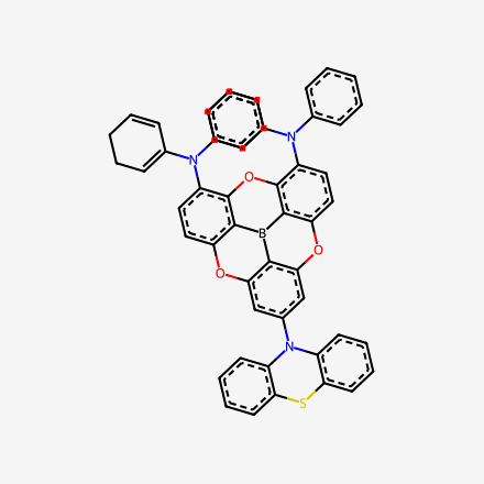 C1=CC(N(c2ccccc2)c2ccc3c4c2Oc2c(N(c5ccccc5)c5ccccc5)ccc5c2B4c2c(cc(N4c6ccccc6Sc6ccccc64)cc2O5)O3)=CCC1